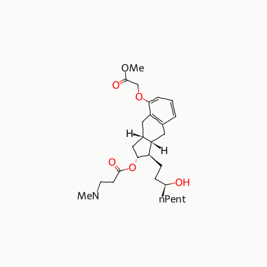 CCCCC[C@H](O)CC[C@@H]1[C@H]2Cc3cccc(OCC(=O)OC)c3C[C@H]2C[C@H]1OC(=O)CCNC